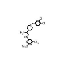 CSc1nc(NCC(N)C2CCN(Cc3ccc(Cl)c(Cl)c3)CC2)cc(C(F)(F)F)n1